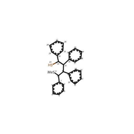 CSC(c1ccccc1)C(c1ccccc1)C(c1ccccc1)C(S)c1ccccc1